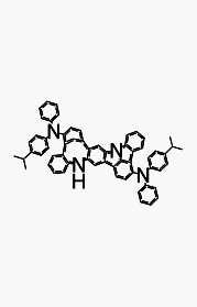 CC(C)c1ccc(N(c2ccccc2)c2ccc3cc2c2ccccc2[nH]c2cc4c5ccc(N(c6ccccc6)c6ccc(C(C)C)cc6)c6c7ccccc7n(c4cc32)c56)cc1